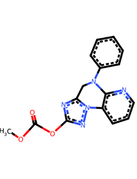 COC(=O)Oc1nc2n(n1)-c1cccnc1N(c1ccccc1)C2